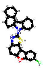 Clc1ccc2c(c1)oc1ccc3nc(-n4c5ccccc5c5c6ccccc6ccc54)sc3c12